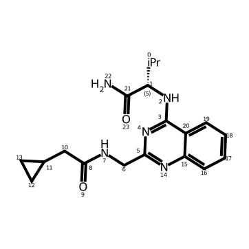 CC(C)[C@H](Nc1nc(CNC(=O)CC2CC2)nc2ccccc12)C(N)=O